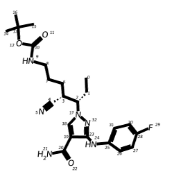 CC[C@@H]([C@H](C#N)CCCNC(=O)OC(C)(C)C)n1cc(C(N)=O)c(Nc2ccc(F)cc2)n1